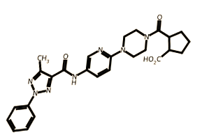 Cc1nn(-c2ccccc2)nc1C(=O)Nc1ccc(N2CCN(C(=O)C3CCCC3C(=O)O)CC2)nc1